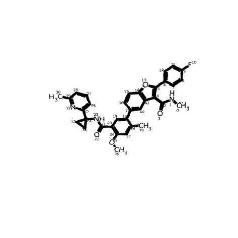 CNC(=O)c1c(-c2ccc(F)cc2)oc2ccc(-c3cc(C(=O)NC4(c5cccc(C)n5)CC4)c(OC)cc3C)cc12